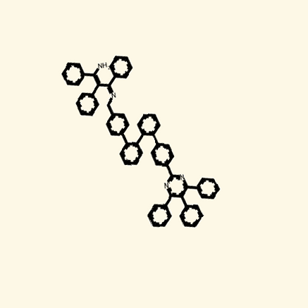 N/C(=C(\C(=N/Cc1ccc(-c2ccccc2-c2ccccc2-c2ccc(-c3nc(-c4ccccc4)c(-c4ccccc4)c(-c4ccccc4)n3)cc2)cc1)c1ccccc1)c1ccccc1)c1ccccc1